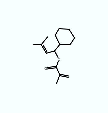 C=C(C)C(=O)OC(C=C(C)C)C1CCCCC1